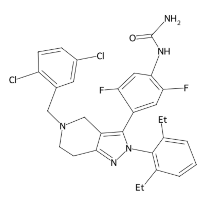 CCc1cccc(CC)c1-n1nc2c(c1-c1cc(F)c(NC(N)=O)cc1F)CN(Cc1cc(Cl)ccc1Cl)CC2